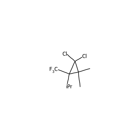 CC(C)C1(C(F)(F)F)C(C)(C)C1(Cl)Cl